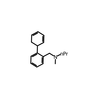 CCCN(C)Cc1ccccc1C1C=CC=CC1